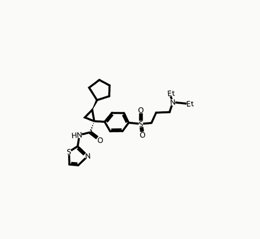 CCN(CC)CCCS(=O)(=O)c1ccc([C@@]2(C(=O)Nc3nccs3)C[C@H]2C2CCCC2)cc1